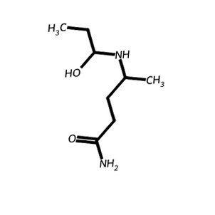 CCC(O)NC(C)CCC(N)=O